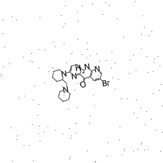 Nc1ncc(Br)cc1C(=O)c1cccc(N2CCCCC2CN2CCCCC2)n1